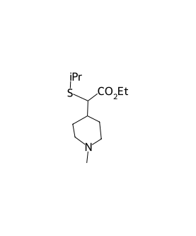 CCOC(=O)C(SC(C)C)C1CCN(C)CC1